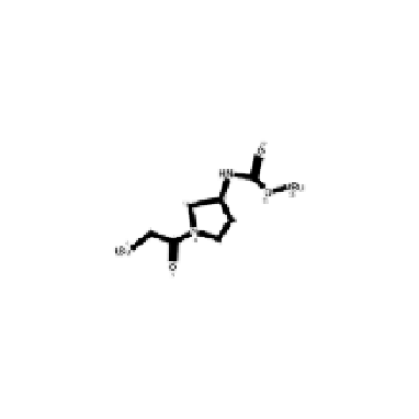 CC(C)(C)CC(=O)N1CCC(NC(=O)OC(C)(C)C)C1